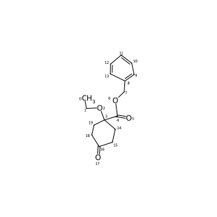 CCOC1(C(=O)OCc2ccccc2)CCC(=O)CC1